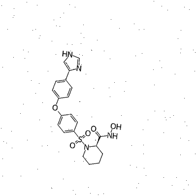 O=C(NO)[C@H]1CCCCN1S(=O)(=O)c1ccc(Oc2ccc(-c3c[nH]cn3)cc2)cc1